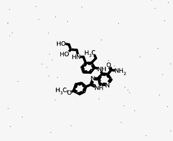 CCc1c(CNCC(O)CO)cccc1Nc1c(C(N)=O)cnc2[nH]c(-c3ccc(OC)cc3)nc12